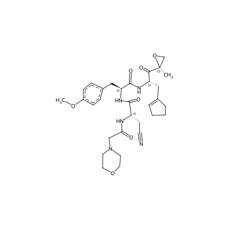 COc1ccc(C[C@H](NC(=O)[C@H](CC#N)NC(=O)CN2CCOCC2)C(=O)N[C@@H](CC2=CCCC2)C(=O)[C@]2(C)CO2)cc1